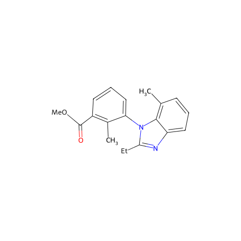 CCc1nc2cccc(C)c2n1-c1cccc(C(=O)OC)c1C